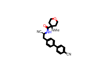 CNC1(C(=O)N[C@H](C#N)Cc2ccc(-c3ccc(C#N)cc3)cc2)CCOCC1